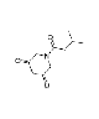 CC(C)CC(=O)N1CC(=O)CC(=O)C1